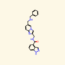 O=C(NCc1cn2cc(CNCc3ccccc3)ccc2n1)c1cccc2[nH]ncc12